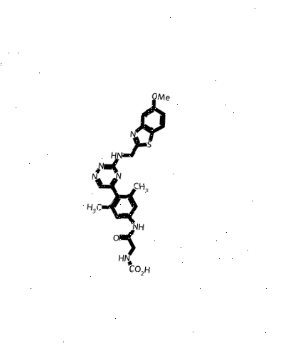 COc1ccc2sc(CNc3nncc(-c4c(C)cc(NC(=O)CNC(=O)O)cc4C)n3)nc2c1